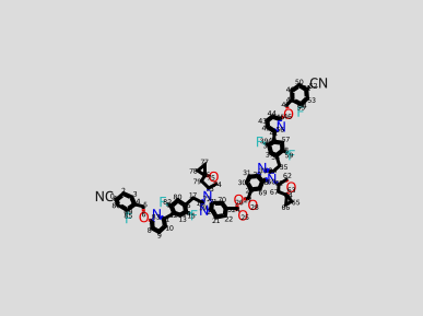 N#Cc1ccc(COc2cccc(-c3cc(F)c(Cc4nc5ccc(C(=O)OC(=O)c6ccc7nc(Cc8cc(F)c(-c9cccc(OCc%10ccc(C#N)cc%10F)n9)cc8F)n(C8COC9(CC9)C8)c7c6)cc5n4C4COC5(CC5)C4)cc3F)n2)c(F)c1